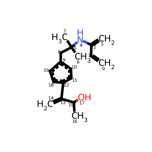 C=CC(=C)NC(C)(C)Cc1ccc(C(=C)C(C)O)cc1